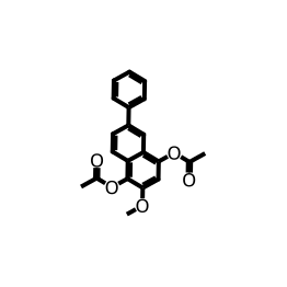 COc1cc(OC(C)=O)c2cc(-c3ccccc3)ccc2c1OC(C)=O